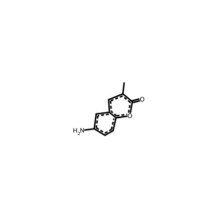 Cc1cc2cc(N)ccc2oc1=O